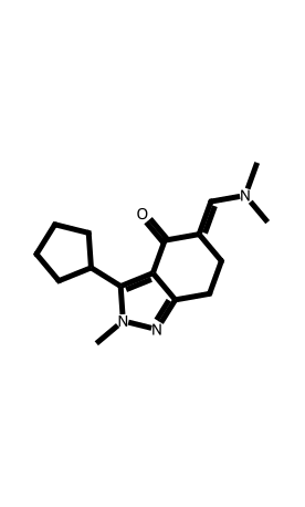 CN(C)/C=C1\CCc2nn(C)c(C3CCCC3)c2C1=O